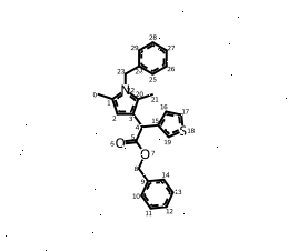 Cc1cc(C(C(=O)OCc2ccccc2)c2ccsc2)c(C)n1Cc1ccccc1